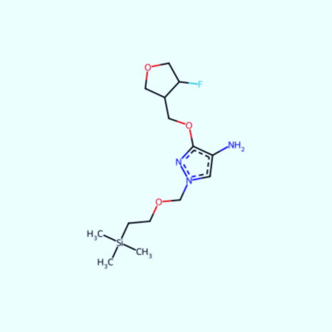 C[Si](C)(C)CCOCn1cc(N)c(OCC2COCC2F)n1